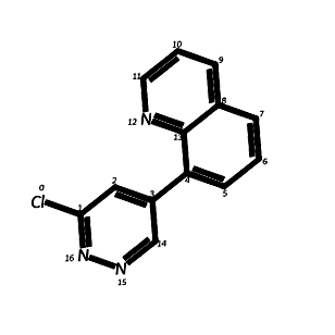 Clc1cc(-c2cccc3cccnc23)cnn1